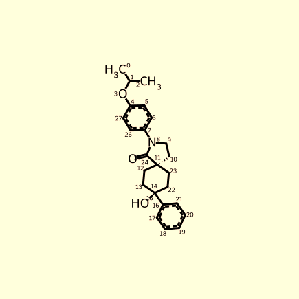 CC(C)Oc1ccc(N2CC[C@]3(CC[C@@](O)(c4ccccc4)CC3)C2=O)cc1